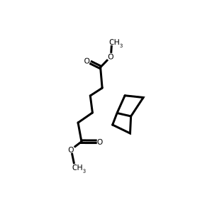 C1CC2CCC12.COC(=O)CCCCC(=O)OC